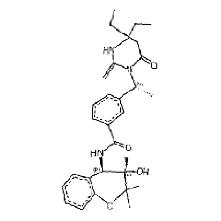 C=C1NC(CC)(CC)CC(=O)N1[C@H](C)c1cccc(C(=O)N[C@@H]2c3ccccc3OC(C)(C)[C@@]2(C)O)c1